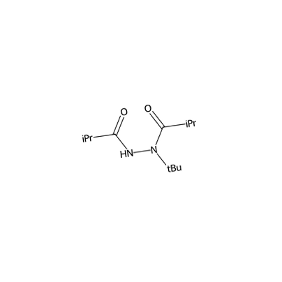 CC(C)C(=O)NN(C(=O)C(C)C)C(C)(C)C